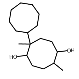 CC1CCC(O)C(C)(C2CCCCCCC2)CCC1O